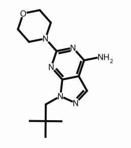 CC(C)(C)Cn1ncc2c(N)nc(N3CCOCC3)nc21